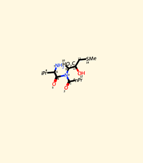 CCCC(=O)N(C(=O)C(N)C(C)C)C(C(=O)O)C(O)CSC